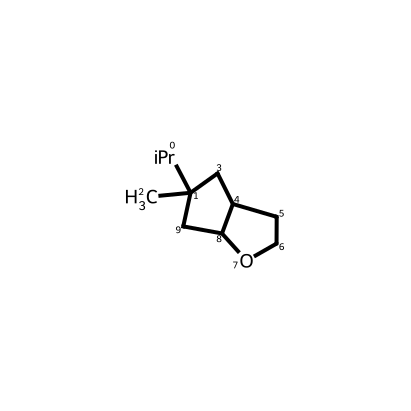 CC(C)C1(C)CC2CCOC2C1